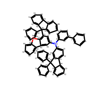 c1ccc(-c2cccc(N(c3ccc4c(c3)C(c3ccccc3)(c3ccccc3)c3ccccc3-4)c3cc(C4(c5ccccc5)c5ccccc5-c5ccccc54)c4oc5ccccc5c4c3)c2)cc1